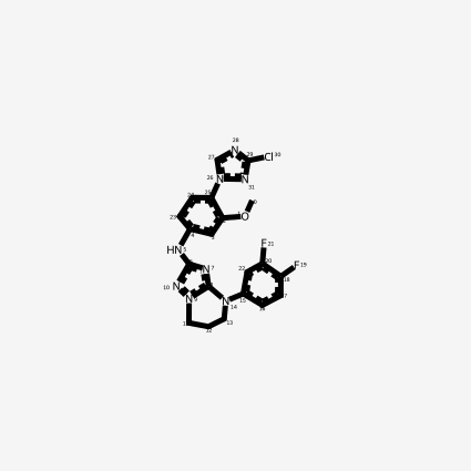 COc1cc(Nc2nc3n(n2)CCCN3c2ccc(F)c(F)c2)ccc1-n1cnc(Cl)n1